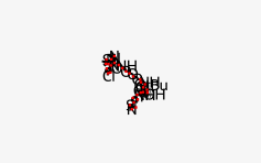 Cc1ncsc1-c1ccc(CNC(=O)[C@@H]2[C@@H](F)[C@@H](O)CN2C(=O)[C@@H](NC(=O)COCCOCCOCCNC(=O)C[C@@H]2N=C(c3ccc(Cl)cc3)c3c(sc(C)c3C)-n3c(C)nnc32)C(C)(C)C)cc1